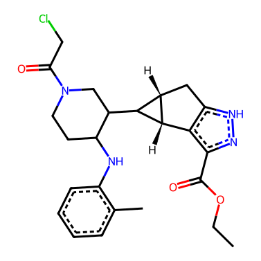 CCOC(=O)c1n[nH]c2c1[C@@H]1C(C3CN(C(=O)CCl)CCC3Nc3ccccc3C)[C@@H]1C2